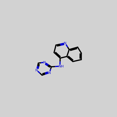 c1ccc2c(Nc3ncncn3)ccnc2c1